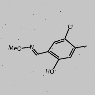 CON=Cc1cc(Cl)c(C)cc1O